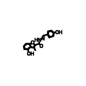 Cc1c(C(=O)NN=Cc2ccc(O)cc2)oc2cccc(O)c12